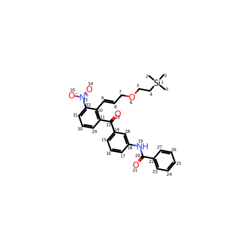 C[Si](C)(C)CCO[CH]C=Cc1c(C(=O)c2cccc(NC(=O)c3ccccc3)c2)cccc1[N+](=O)[O-]